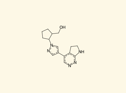 OCC1CCCC1n1cc(-c2cnnc3c2CCN3)cn1